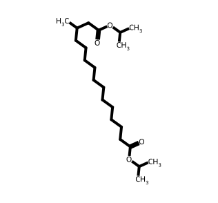 CC(CCCCCCCCCCCC(=O)OC(C)C)CC(=O)OC(C)C